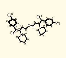 CCC(c1ccc(Cl)cc1)C(CCOCCC(C(CC)c1ccc(Cl)cc1)N1CCCCC1)N1CCCCC1